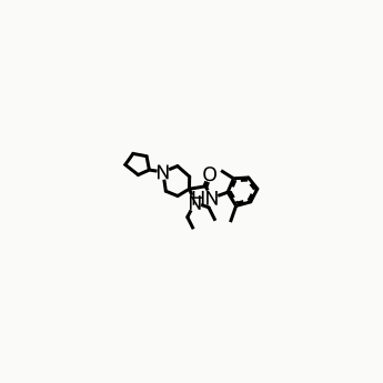 CCN(CC)C1(C(=O)Nc2c(C)cccc2C)CCN(C2CCCC2)CC1